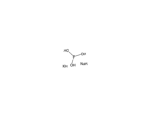 OB(O)O.[KH].[NaH]